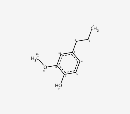 CC[CH]c1ccc(O)c(OC)c1